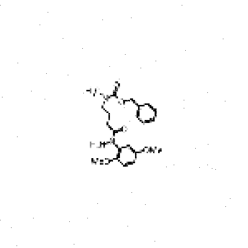 COc1ccc(OC)c(N(N)C(=O)CCCN(C)C(=O)OCc2ccccc2)c1